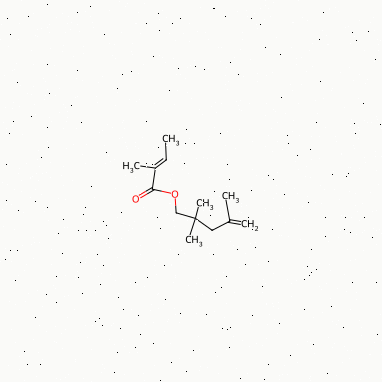 C=C(C)CC(C)(C)COC(=O)C(C)=CC